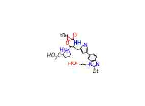 CCc1nc2ccc(-c3cncc(CC(NC(=O)OC(C)(C)C)C(=O)N4CCCC(C(=O)O)N4)c3)cc2n1CCCO